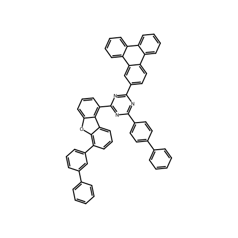 c1ccc(-c2ccc(-c3nc(-c4ccc5c6ccccc6c6ccccc6c5c4)nc(-c4cccc5oc6c(-c7cccc(-c8ccccc8)c7)cccc6c45)n3)cc2)cc1